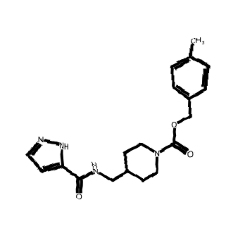 Cc1ccc(COC(=O)N2CCC(CNC(=O)c3ccn[nH]3)CC2)cc1